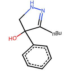 CCCCC1=NNCC1(O)c1ccccc1